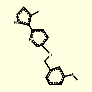 CSc1cccc(COc2ccc(-c3[nH]ncc3C)nc2)c1